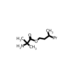 CC(C)C(C)CCOC(=O)C(C)(C)N